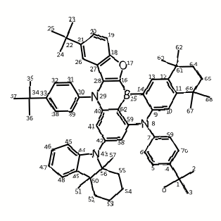 CC(C)(C)c1ccc(N2c3cc4c(cc3B3c5oc6ccc(C(C)(C)C)cc6c5N(c5ccc(C(C)(C)C)cc5)c5cc(N6c7ccccc7C7(C)CCCCC67C)cc2c53)C(C)(C)CCC4(C)C)cc1